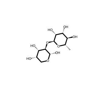 C[C@@H]1O[C@@H](O[C@@H]2[C@@H](O)[C@@H](O)CO[C@H]2O)[C@H](O)[C@H](O)[C@H]1O